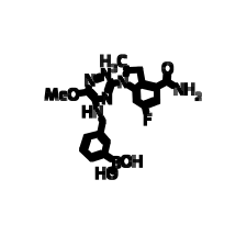 COc1nnc(N2c3cc(F)cc(C(N)=O)c3CC2C)nc1NCc1cccc(B(O)O)c1